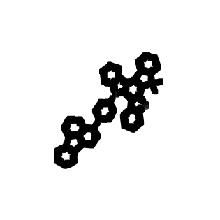 CC1(C)c2ccccc2-c2c1c1oc3ccccc3c1c1c2c2ccccc2n1-c1ccc(-c2ccc3c4c(cccc24)-c2ccccc2-3)cc1